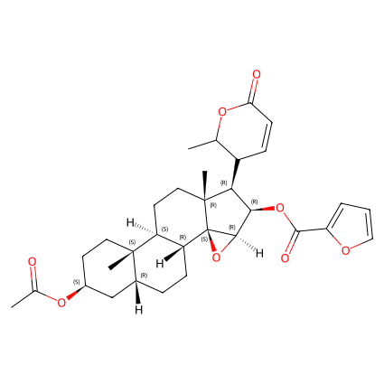 CC(=O)O[C@H]1CC[C@@]2(C)[C@H](CC[C@@H]3[C@@H]2CC[C@]2(C)[C@@H](C4C=CC(=O)OC4C)[C@@H](OC(=O)c4ccco4)[C@H]4O[C@]342)C1